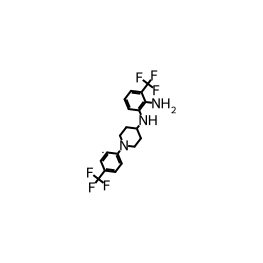 Nc1c(NC2CCN(c3[c]cc(C(F)(F)F)cc3)CC2)cccc1C(F)(F)F